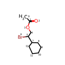 CC(=O)OCC(Br)C1CCCCC1